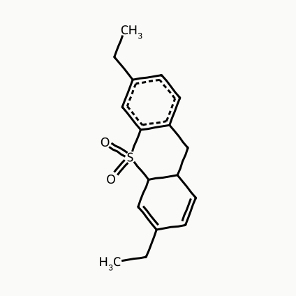 CCC1=CC2C(C=C1)Cc1ccc(CC)cc1S2(=O)=O